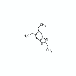 CCc1nc2cc(CC)c(CC)cc2s1